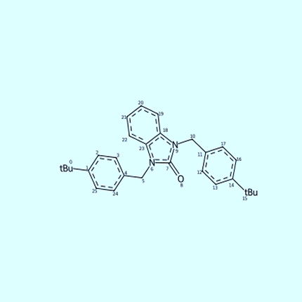 CC(C)(C)c1ccc(Cn2c(=O)n(Cc3ccc(C(C)(C)C)cc3)c3ccccc32)cc1